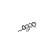 CCCc1ccc(CN(Cc2cncnc2)S(=O)(=O)CCl)cc1